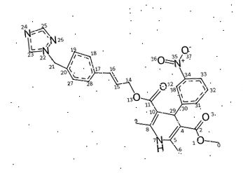 COC(=O)C1=C(C)NC(C)=C(C(=O)OC/C=C/c2ccc(Cn3cncn3)cc2)C1c1cccc([N+](=O)[O-])c1